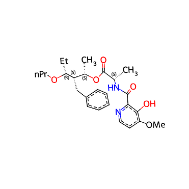 CCCO[C@H](CC)[C@@H](Cc1ccccc1)[C@H](C)OC(=O)[C@H](C)NC(=O)c1nccc(OC)c1O